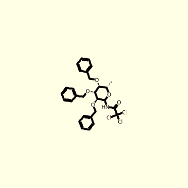 C[C@@H]1OC(NC(=O)C(Cl)(Cl)Cl)[C@@H](OCc2ccccc2)[C@H](OCc2ccccc2)[C@@H]1OCc1ccccc1